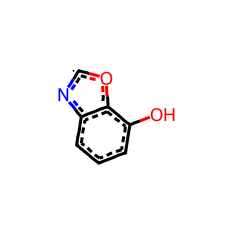 Oc1cccc2n[c]oc12